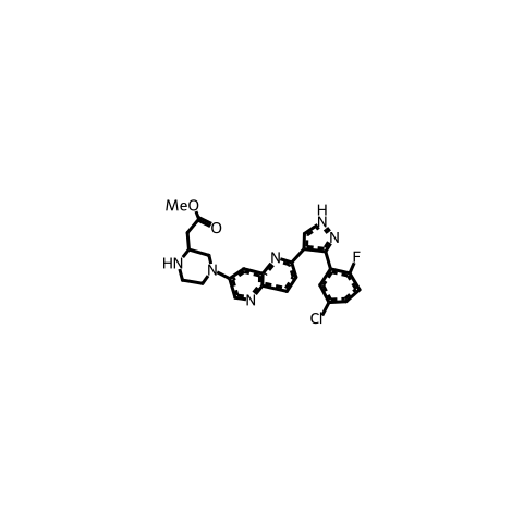 COC(=O)CC1CN(c2cnc3ccc(-c4c[nH]nc4-c4cc(Cl)ccc4F)nc3c2)CCN1